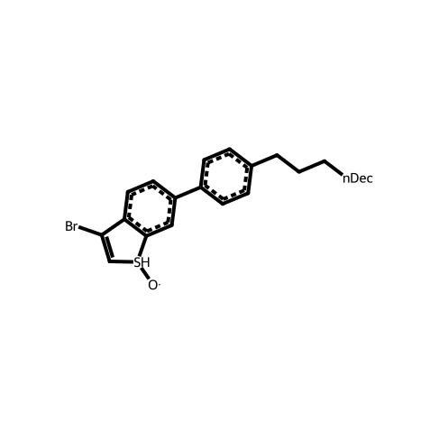 CCCCCCCCCCCCCc1ccc(-c2ccc3c(c2)[SH]([O])C=C3Br)cc1